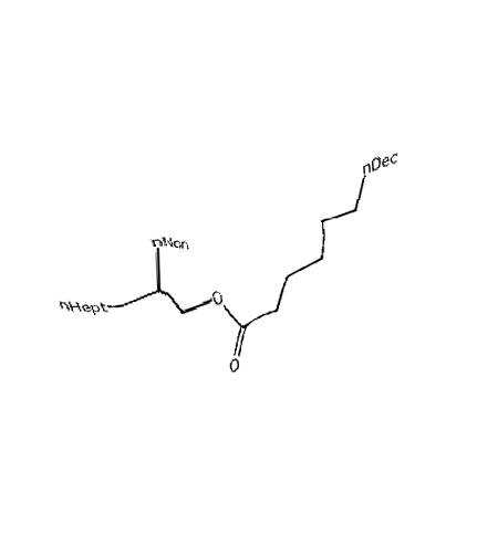 CCCCCCCCCCCCCCCC(=O)OCC(CCCCCCC)CCCCCCCCC